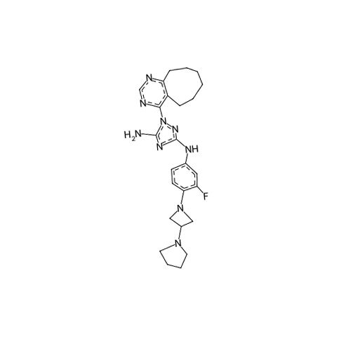 Nc1nc(Nc2ccc(N3CC(N4CCCC4)C3)c(F)c2)nn1-c1ncnc2c1CCCCCC2